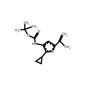 C=C(C)c1cc(NC(=O)OC(C)(C)C)c(C2CC2)s1